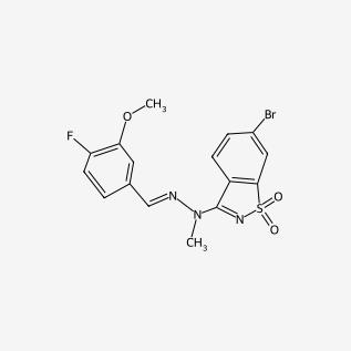 COc1cc(/C=N/N(C)C2=NS(=O)(=O)c3cc(Br)ccc32)ccc1F